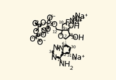 Nc1ncnn2c([C@@H]3O[C@](CF)(COP(=O)([O-])OP(=O)([O-])OP(=O)([O-])[O-])[C@@H](O)[C@H]3O)ccc12.[Na+].[Na+].[Na+].[Na+]